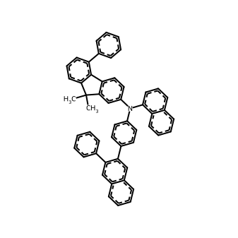 CC1(C)c2cc(N(c3ccc(-c4cc5ccccc5cc4-c4ccccc4)cc3)c3cccc4ccccc34)ccc2-c2c(-c3ccccc3)cccc21